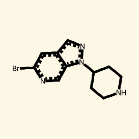 Brc1cc2cnn(C3CCNCC3)c2cn1